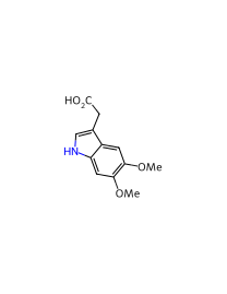 COc1cc2[nH]cc(CC(=O)O)c2cc1OC